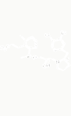 CCc1cc(C[C@@H]2CCCN2C[C@H](O)CO[C@H](C)c2cccc(C)c2CCC(=O)O)ccc1Cl